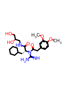 COc1ccc(CC(=O)N(C(=N)N)[C@H](CC2CCCCC2)C(=O)NC[C@@H](O)CO)cc1OC